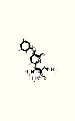 Cc1nc(/C(N)=C(\CN)N(C)N)ccc1OC1CCCCC1